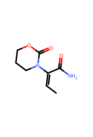 CC=C(C(N)=O)N1CCCOC1=O